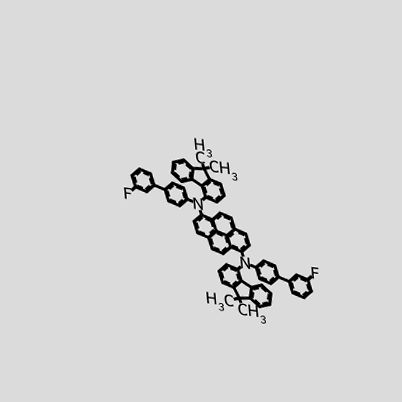 CC1(C)c2ccccc2-c2c(N(c3ccc(-c4cccc(F)c4)cc3)c3ccc4ccc5c(N(c6ccc(-c7cccc(F)c7)cc6)c6cccc7c6-c6ccccc6C7(C)C)ccc6ccc3c4c65)cccc21